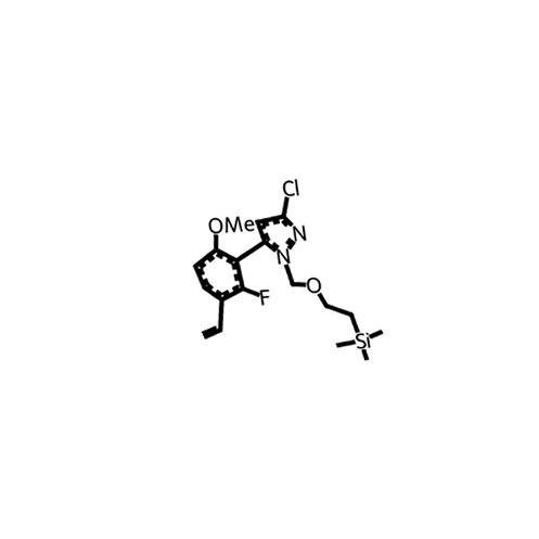 C=Cc1ccc(OC)c(-c2cc(Cl)nn2COCC[Si](C)(C)C)c1F